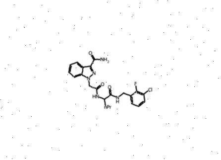 CCCC(NC(=O)Cn1nc(C(N)=O)c2ccccc21)C(=O)NCc1cccc(Cl)c1F